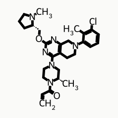 C=CC(=O)N1CCN(c2nc(OC[C@@H]3CCCN3C)nc3c2CCN(c2cccc(Cl)c2C)C3)C[C@@H]1C